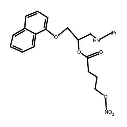 CC(C)NCC(COc1cccc2ccccc12)OC(=O)CCCO[N+](=O)[O-]